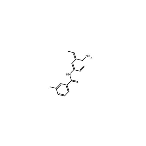 C=C/C(=C\C(=C/C)CN)NC(=C)c1cccc(C)c1